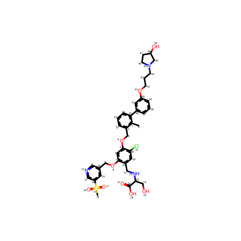 Cc1c(COc2cc(OCc3cncc(S(C)(=O)=O)c3)c(CNC(CO)C(=O)O)cc2Cl)cccc1-c1cccc(OCCCN2CCC(O)C2)c1